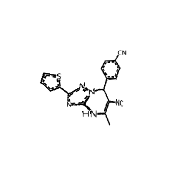 [C-]#[N+]C1=C(C)Nc2nc(-c3cccs3)nn2C1c1ccc(C#N)cc1